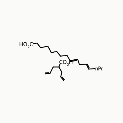 C=CCC(CC=C)C(=O)O.CCCC=CCC=CCCCCCCCC(=O)O